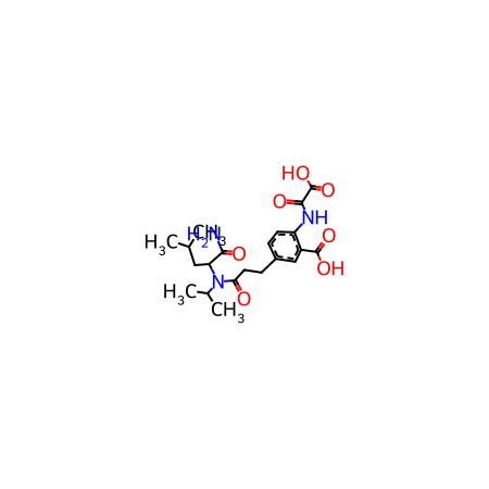 CC(C)CC(C(N)=O)N(C(=O)CCc1ccc(NC(=O)C(=O)O)c(C(=O)O)c1)C(C)C